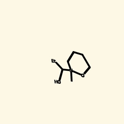 CCC(O)[Si]1(C)CCCCO1